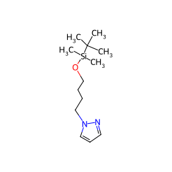 CC(C)(C)[Si](C)(C)OCCCCn1cccn1